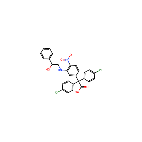 O=C(O)C(c1ccc(Cl)cc1)(c1ccc(Cl)cc1)c1ccc([N+](=O)[O-])c(NCC(O)c2ccccc2)c1